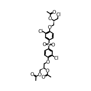 CC(=O)OC[C@@H](COc1ccc(S(=O)(=O)c2ccc(OC[C@H](CCl)OC(C)=O)c(Cl)c2)cc1Cl)OC(C)=O